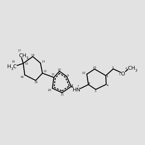 COCC1CCC(Nc2ccc(C3CCC(C)(C)CC3)cc2)CC1